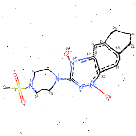 CS(=O)(=O)N1CCN(c2n[n+]([O-])c3cc4c(cc3[n+]2[O-])CCC4)CC1